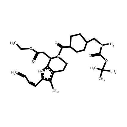 C=C/C=C\c1[nH]c2c(c1C)CCN(C(=O)C1CCC(CN(C)C(=O)OC(C)(C)C)CC1)C2CC(=O)OCC